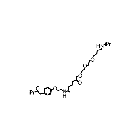 CC(C)NCCCCOCCOCCOCC(=O)CCCC(C)NCCOc1ccc(CC(=O)C(C)C)cc1